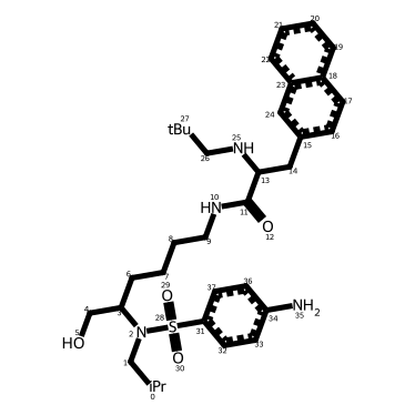 CC(C)CN(C(CO)CCCCNC(=O)C(Cc1ccc2ccccc2c1)NCC(C)(C)C)S(=O)(=O)c1ccc(N)cc1